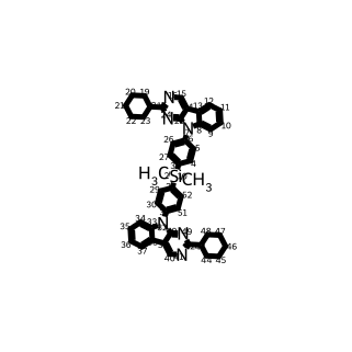 C[Si](C)(c1ccc(-n2c3ccccc3c3cnc(C4CCCCC4)nc32)cc1)c1ccc(-n2c3ccccc3c3cnc(C4CCCCC4)nc32)cc1